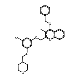 CC(=O)c1cc(OCc2nc3ccccc3c(OCc3ccccc3)c2C)cc(OCC2CCOCC2)c1